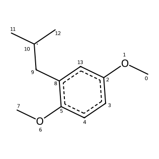 COc1ccc(OC)c(C[C](C)C)c1